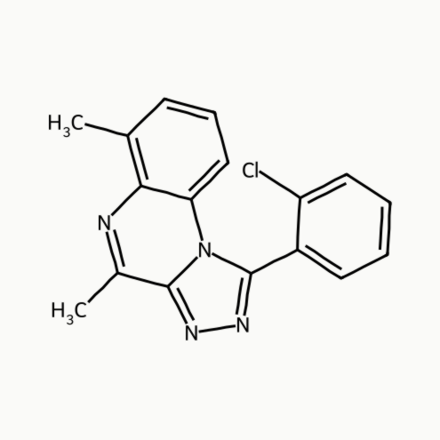 Cc1cccc2c1nc(C)c1nnc(-c3ccccc3Cl)n12